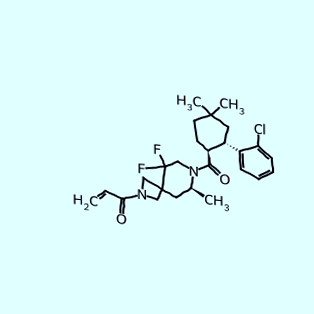 C=CC(=O)N1CC2(C[C@H](C)N(C(=O)[C@H]3CCC(C)(C)C[C@@H]3c3ccccc3Cl)CC2(F)F)C1